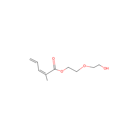 C=CC=C(C)C(=O)OCCOCCO